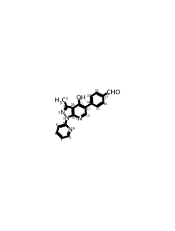 Cc1nn(-c2ccccn2)c2ncc(-c3ccc(C=O)cc3)c(O)c12